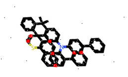 CC1(C)c2ccccc2C2(c3ccccc3Sc3c2ccc2ccccc32)c2cc(N(c3ccc(-c4ccccc4)cc3)c3ccccc3-c3ccccc3)ccc21